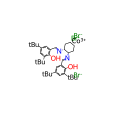 CC(C)(C)c1cc(C=N[C@@H]2CCCC[C@H]2N=Cc2cc(C(C)(C)C)cc(C(C)(C)C)c2O)c(O)c(C(C)(C)C)c1.[Br-].[Br-].[Br-].[Co+3]